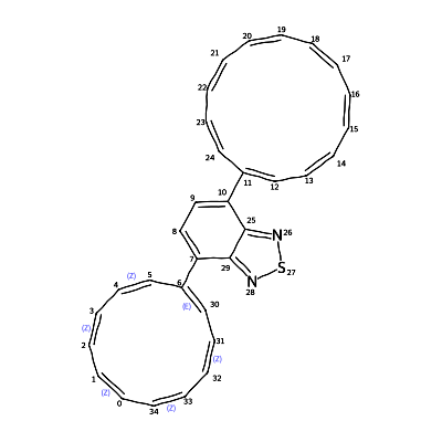 C1=C\C=C/C=C\C(c2ccc(-c3ccccccccccccc3)c3nsnc23)=C/C=C\C=C/1